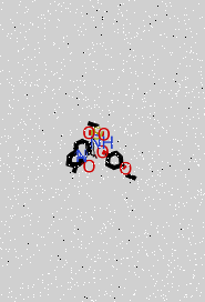 CCOC1CCC(OC[C@H]2[C@@H](NS(=O)(=O)CC)CCc3ccc(C)c(=O)n32)CC1